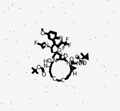 COc1ccc2nc(C(F)(F)F)c3c(c2c1)[C@H](N1CC(F)C1)C[C@]1(C[C@H]2C(=O)N[C@]4(C(=O)NS(=O)(=O)C5(C)CC5)C[C@H]4/C=C\CCCCC[C@H](NC(=O)OC(C)(C)C)C(=O)N2C1)O3